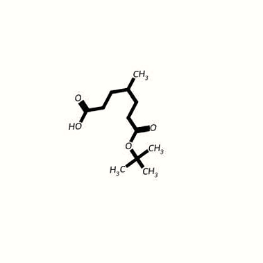 CC(CCC(=O)O)CCC(=O)OC(C)(C)C